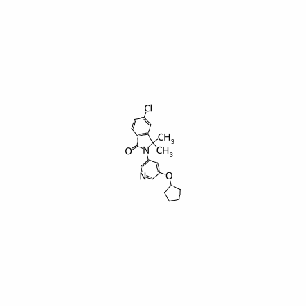 CC1(C)c2cc(Cl)ccc2C(=O)N1c1cncc(OC2CCCC2)c1